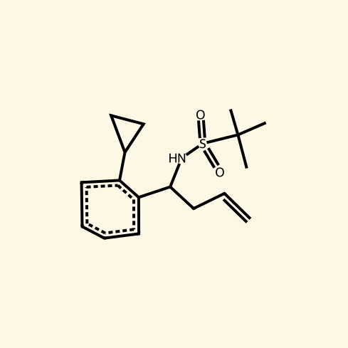 C=CCC(NS(=O)(=O)C(C)(C)C)c1ccccc1C1CC1